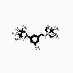 CC[Si](CC)(OCc1cc(N)cc(B2OC(C)(C)C(C)(C)O2)c1)C(C)(C)C